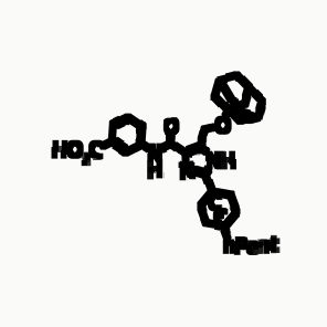 CCCCCC12CCC(c3nc(C(=O)Nc4cccc(C(=O)O)c4)c(COC45CC6CC(CC(C6)C4)C5)[nH]3)(CC1)CC2